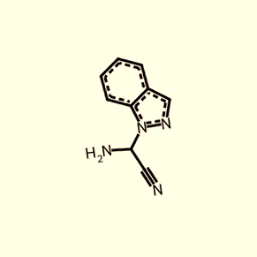 N#CC(N)n1ncc2ccccc21